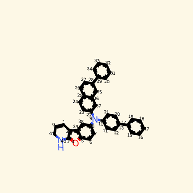 C1=Cc2c(oc3ccc(N(c4ccc(-c5ccccc5)cc4)c4ccc5ccc(-c6ccccc6)cc5c4)cc23)NC1